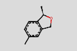 Cc1ccc2c(c1)CO[C@@H]2C